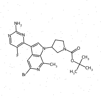 Cc1nc(Br)cc2c(-c3nc(N)ncc3F)cn(C3CCN(C(=O)OC(C)(C)C)C3)c12